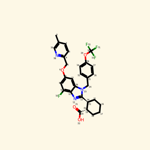 Cc1ccc(COc2cc(F)c3nc([C@H]4CCCC[C@@H]4C(=O)O)n(Cc4ccc(OC(F)(F)F)cc4)c3c2)nc1